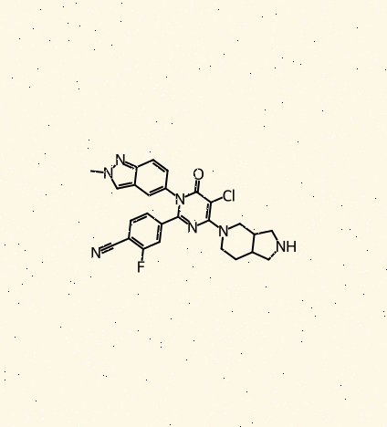 Cn1cc2cc(-n3c(-c4ccc(C#N)c(F)c4)nc(N4CCC5CNCC5C4)c(Cl)c3=O)ccc2n1